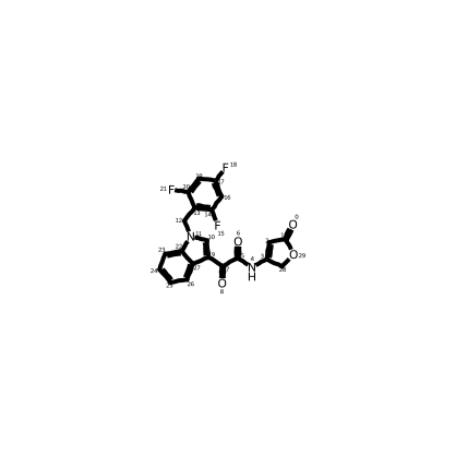 O=C1C=C(NC(=O)C(=O)c2cn(Cc3c(F)cc(F)cc3F)c3ccccc23)CO1